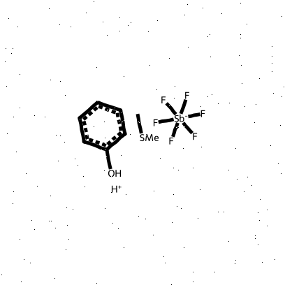 CSC.Oc1ccccc1.[F][Sb-]([F])([F])([F])([F])[F].[H+]